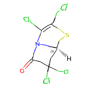 O=C1N2C(Cl)=C(Cl)S[C@H]2C1(Cl)Cl